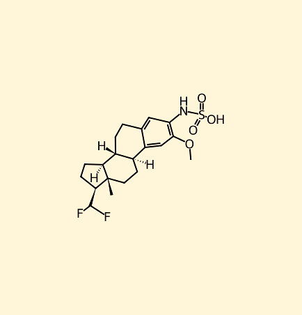 COc1cc2c(cc1NS(=O)(=O)O)CC[C@@H]1[C@@H]2CC[C@]2(C)[C@@H](C(F)F)CC[C@@H]12